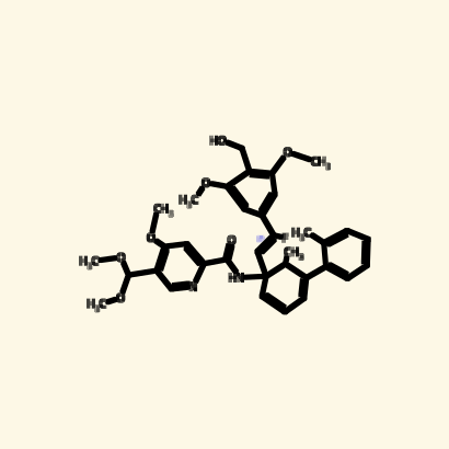 COc1cc(C(=O)NC2(/C=C(\F)c3cc(OC)c(CO)c(OC)c3)C=CC=C(c3ccccc3C)C2C)ncc1C(OC)OC